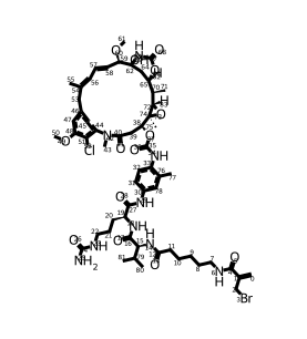 C=C(CBr)C(=O)NCCCCCC(=O)N[C@H](C(=O)N[C@@H](CCCNC(N)=O)C(=O)Nc1ccc(NC(=O)O[C@H]2CC(=O)N(C)c3cc(cc(OC)c3Cl)C/C(C)=C/C=C/[C@@H](OC)[C@@]3(O)C[C@H](OC(=O)N3)[C@@H](C)[C@@H]3O[C@@]23C)c(C)c1)C(C)C